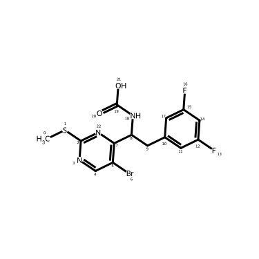 CSc1ncc(Br)c(C(Cc2cc(F)cc(F)c2)NC(=O)O)n1